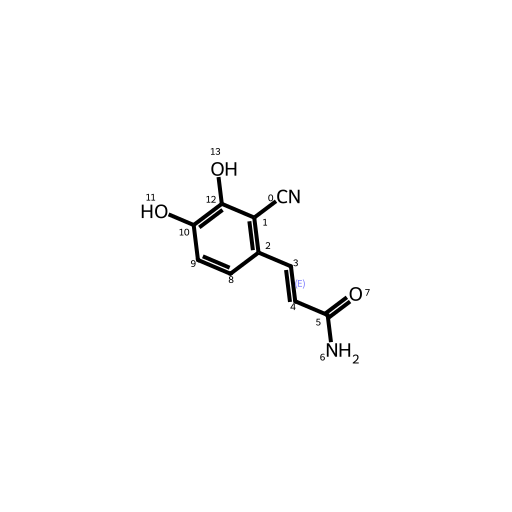 N#Cc1c(/C=C/C(N)=O)ccc(O)c1O